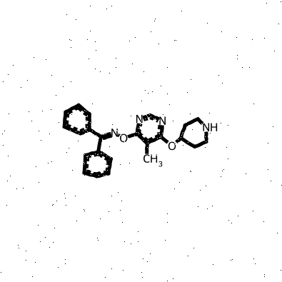 Cc1c(ON=C(c2ccccc2)c2ccccc2)ncnc1OC1CCNCC1